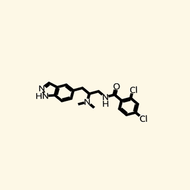 CN(C)C(CNC(=O)c1ccc(Cl)cc1Cl)Cc1ccc2[nH]ncc2c1